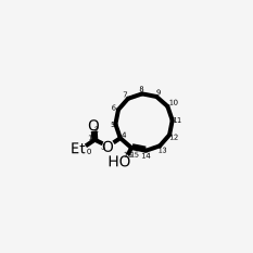 CCC(=O)OC1CCCCCCCCCC=C1O